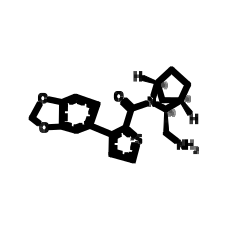 NC[C@@H]1[C@H]2CC[C@H](C2)N1C(=O)c1sccc1-c1ccc2c(c1)OCO2